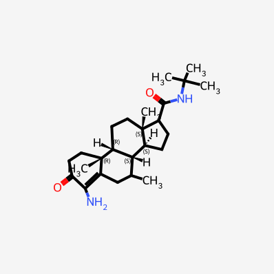 CC1CC2=C(N)C(=O)CC[C@]2(C)[C@@H]2CC[C@]3(C)C(C(=O)NC(C)(C)C)CC[C@H]3[C@H]12